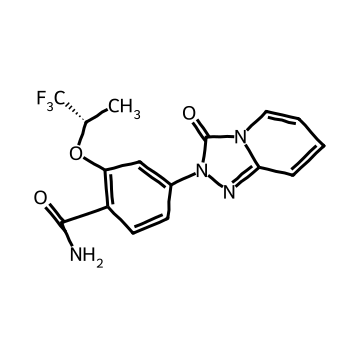 C[C@H](Oc1cc(-n2nc3ccccn3c2=O)ccc1C(N)=O)C(F)(F)F